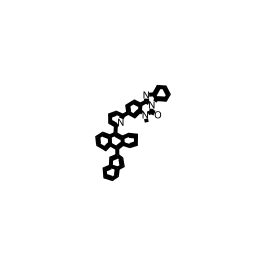 Cn1c(=O)n2c3ccccc3nc2c2ccc(-c3cccc(-c4c5ccccc5c(-c5ccc6ccccc6c5)c5ccccc45)n3)cc21